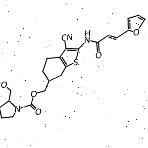 N#Cc1c(NC(=O)C=Cc2ccco2)sc2c1CCC(COC(=O)N1CCCC1CO)C2